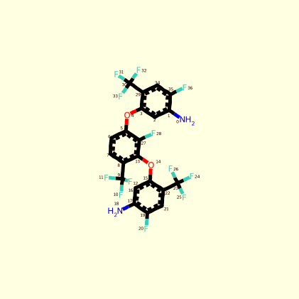 Nc1cc(Oc2ccc(C(F)(F)F)c(Oc3cc(N)c(F)cc3C(F)(F)F)c2F)c(C(F)(F)F)cc1F